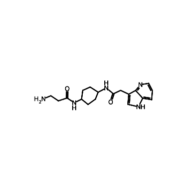 NCCC(=O)NC1CCC(NC(=O)Cc2c[nH]c3cccnc23)CC1